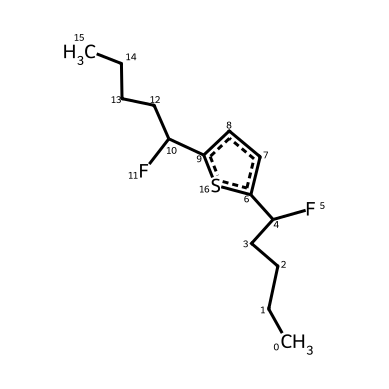 CCCCC(F)c1ccc(C(F)CCCC)s1